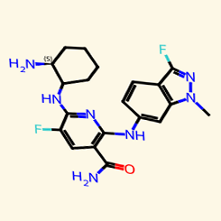 Cn1nc(F)c2ccc(Nc3nc(NC4CCCC[C@@H]4N)c(F)cc3C(N)=O)cc21